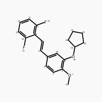 COc1ccc(C=Cc2c(F)cccc2F)cc1OC1CCCC1